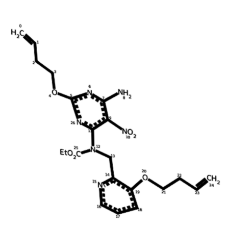 C=CCCOc1nc(N)c([N+](=O)[O-])c(N(Cc2ncccc2OCCC=C)C(=O)OCC)n1